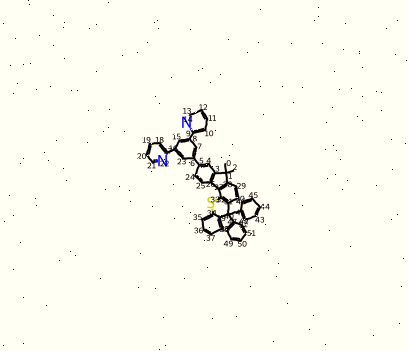 CC1(C)c2cc(-c3cc(-c4ccccn4)cc(-c4ccccn4)c3)ccc2-c2c1ccc1c2Sc2ccccc2C1(c1ccccc1)c1ccccc1